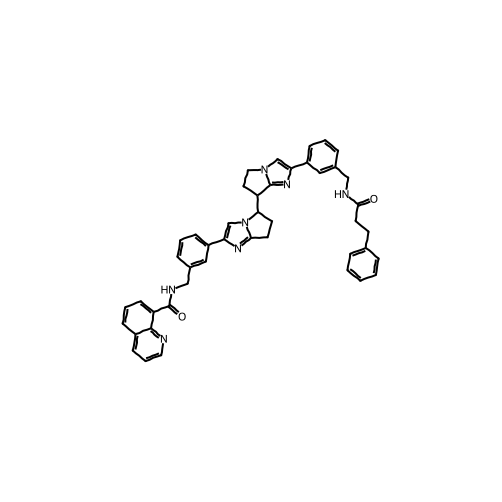 O=C(CCc1ccccc1)NCc1cccc(-c2cn3c(n2)C(C2CCc4nc(-c5cccc(CNC(=O)c6cccc7cccnc67)c5)cn42)CC3)c1